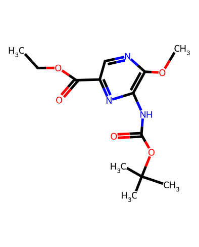 CCOC(=O)c1cnc(OC)c(NC(=O)OC(C)(C)C)n1